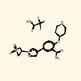 NC(=O)c1cc(-c2cnn(C3CS(=O)(=O)C3)c2)ccc1OC1CCNCC1.O=C(O)C(F)(F)F